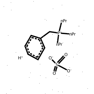 CCC[P+](CCC)(CCC)Cc1ccccc1.O=S(=O)([O-])[O-].[H+]